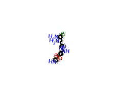 Nc1cc(Cl)cc(C=Cc2cnc(Nc3ccc(S(=O)(=O)C4CCNCC4)cc3)nc2)c1N